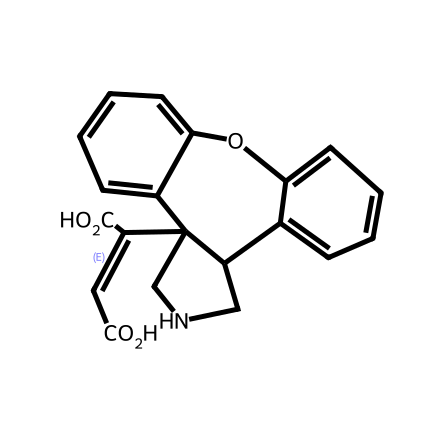 O=C(O)/C=C(/C(=O)O)C12CNCC1c1ccccc1Oc1ccccc12